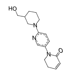 O=C1C=CCCN1c1ccc(N2CCCC(CO)C2)nc1